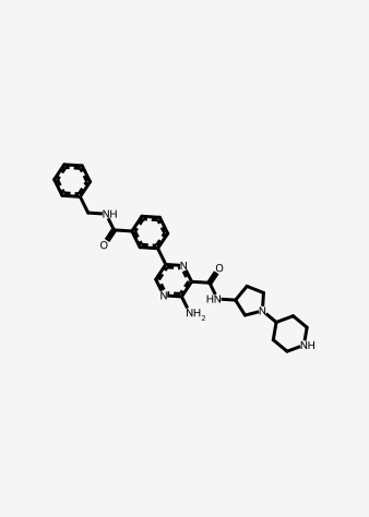 Nc1ncc(-c2cccc(C(=O)NCc3ccccc3)c2)nc1C(=O)NC1CCN(C2CCNCC2)C1